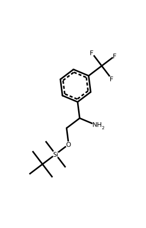 CC(C)(C)[Si](C)(C)OCC(N)c1cccc(C(F)(F)F)c1